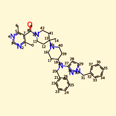 Cc1ncnc(C)c1C(=O)N1CCC(C)(N2CCC(N(Cc3ccccc3)c3ccn(Cc4ccccc4)n3)CC2)CC1